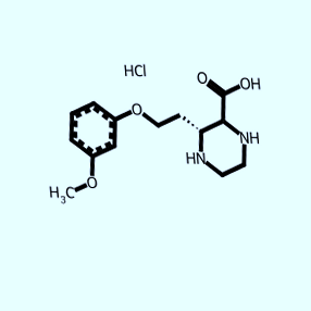 COc1cccc(OCC[C@H]2NCCNC2C(=O)O)c1.Cl